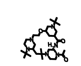 CC(=O)N1CCN(C(C)(C)CC2CN(CCOC3CC(C(N)=O)CN(C(C)(C)C)C3)CCN2C(C)(C)C)CC1